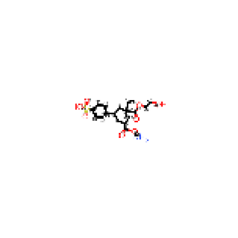 CCC(C)(CC(CC(C)C(=O)ON)c1ccc(S(=O)(=O)O)cc1)C(=O)OCCO